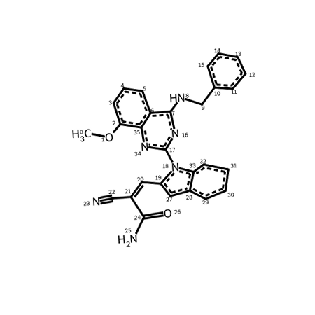 COc1cccc2c(NCc3ccccc3)nc(-n3c(/C=C(/C#N)C(N)=O)cc4ccccc43)nc12